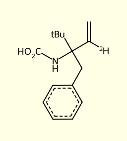 [2H]C(=C)C(Cc1ccccc1)(NC(=O)O)C(C)(C)C